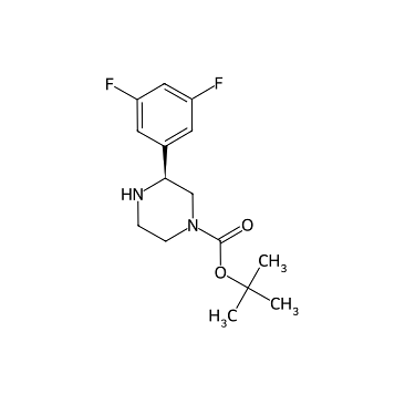 CC(C)(C)OC(=O)N1CCN[C@@H](c2cc(F)cc(F)c2)C1